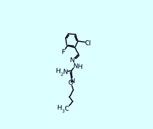 CCCCO/N=C(\N)N/N=C/c1c(F)cccc1Cl